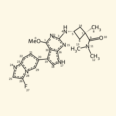 COc1nc(N[C@H]2C[C@](C)(C(=O)N(C)C)C2)nc2[nH]cc(-c3ccc4ncc(F)n4c3)c12